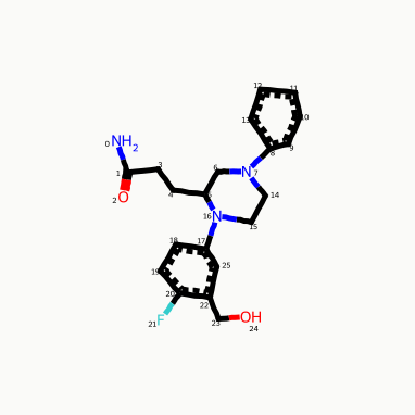 NC(=O)CCC1CN(c2ccccc2)CCN1c1ccc(F)c(CO)c1